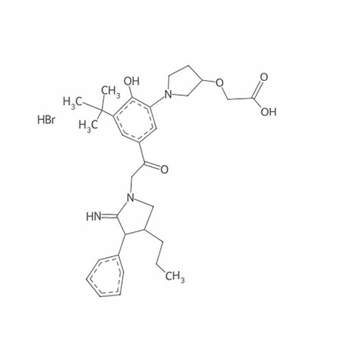 Br.CCCC1CN(CC(=O)c2cc(N3CCC(OCC(=O)O)C3)c(O)c(C(C)(C)C)c2)C(=N)C1c1ccccc1